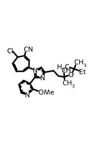 CCC(C)(C)OC(C)(C)CCc1cn(C2=CC=CC(Cl)C(C#N)=C2)c(-c2cccnc2OC)n1